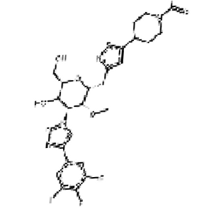 CO[C@@H]1[C@@H](n2cc(-c3cc(F)c(F)c(F)c3)nn2)[C@@H](O)[C@@H](CO)O[C@@H]1Cc1cc(C2CCN(C(=O)O)CC2)sn1